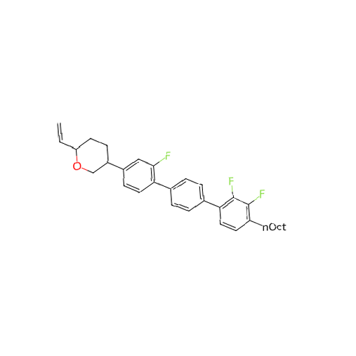 C=CC1CCC(c2ccc(-c3ccc(-c4ccc(CCCCCCCC)c(F)c4F)cc3)c(F)c2)CO1